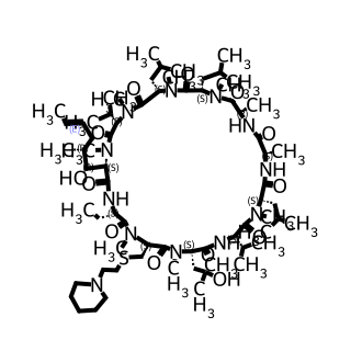 C/C=C/C[C@@H](C)[C@@H](O)[C@H]1C(=O)N[C@@H](CC)C(=O)N(C)[C@H](CSCCN2CCCCC2)C(=O)N(C)[C@@H](CC(C)(C)O)C(=O)N[C@@H](C(C)C)C(=O)N(C)[C@@H](CC(C)C)C(=O)N[C@@H](C)C(=O)N[C@H](C)C(=O)N(C)[C@@H](CC(C)C)C(=O)N(C)[C@@H](CC(C)C)C(=O)N(C)[C@@H](C(C)C)C(=O)N1C